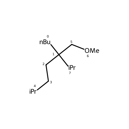 CCCCC(CCC(C)C)(COC)C(C)C